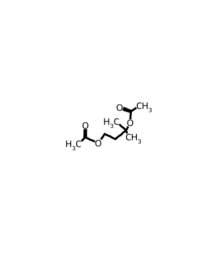 CC(=O)OCCC(C)(C)OC(C)=O